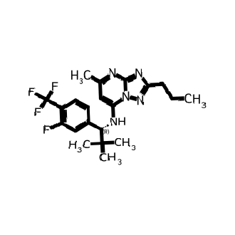 CCCc1nc2nc(C)cc(N[C@@H](c3ccc(C(F)(F)F)c(F)c3)C(C)(C)C)n2n1